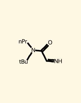 CCCN(C(=O)C=N)C(C)(C)C